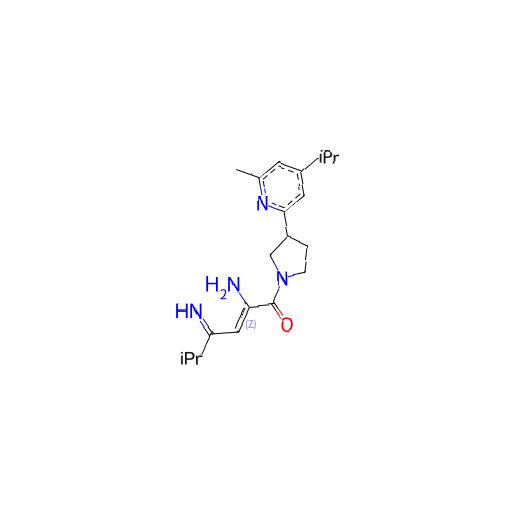 Cc1cc(C(C)C)cc(C2CCN(C(=O)/C(N)=C/C(=N)C(C)C)C2)n1